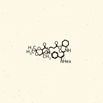 CCCCCC/C(=C/C(=O)N[C@H]1CCCC[C@@H]1OC(=O)CCNC(=O)C1OC(C)(C)OCC1(C)C)c1ccccc1